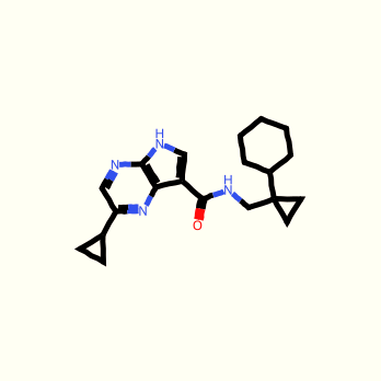 O=C(NCC1(C2CCCCC2)CC1)c1c[nH]c2ncc(C3CC3)nc12